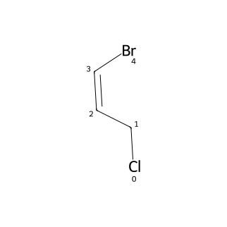 ClC/C=C\Br